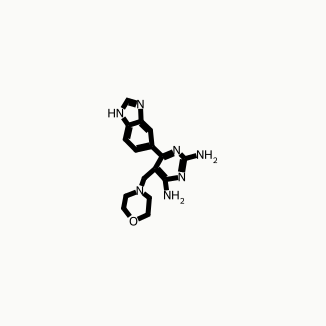 Nc1nc(N)c(CN2CCOCC2)c(-c2ccc3[nH]cnc3c2)n1